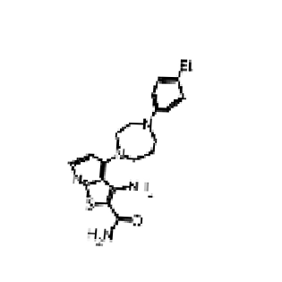 CCc1ccc(N2CCCN(c3ccnc4sc(C(N)=O)c(N)c34)CC2)cc1